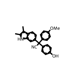 COc1ccc(C(C#N)(c2ccc(O)cc2)c2ccc3c(C)c(C)[nH]c3c2)cc1